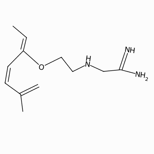 C=C(C)/C=C\C(=C/C)OCCNCC(=N)N